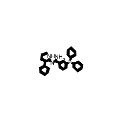 NC(/N=c1\[nH]cccc1-c1ccccc1)c1cccc(P(c2ccccc2)c2ccccc2)c1